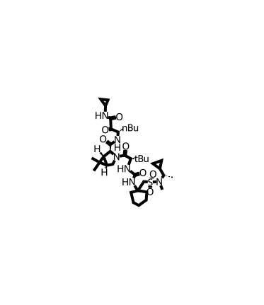 CCCC[C@H](NC(=O)[C@@H]1[C@@H]2[C@H](CN1C(=O)[C@@H](NC(=O)NC1(CS(=O)(=O)N(C)[C@@H](C)C3CC3)CCCCC1)C(C)(C)C)C2(C)C)C(=O)C(=O)NC1CC1